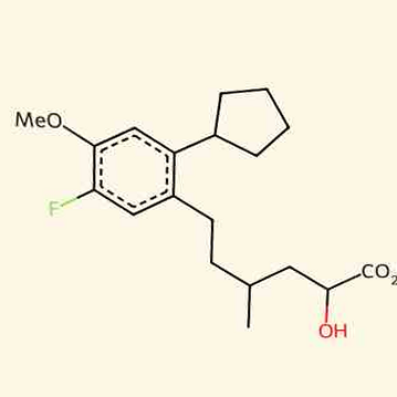 COc1cc(C2CCCC2)c(CCC(C)CC(O)C(=O)O)cc1F